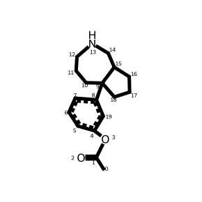 CC(=O)Oc1cccc(C23CCCNCC2CCC3)c1